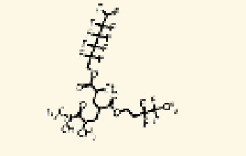 CCC(CC(CC(C)C(=O)N(C)C)C(=O)OCCC(F)(F)C(F)(F)C(F)(F)F)C(=O)OCC(F)(F)C(F)(F)C(F)(F)C(F)(F)C(F)F